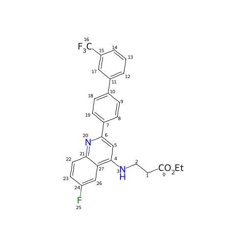 CCOC(=O)CCNc1cc(-c2ccc(-c3cccc(C(F)(F)F)c3)cc2)nc2ccc(F)cc12